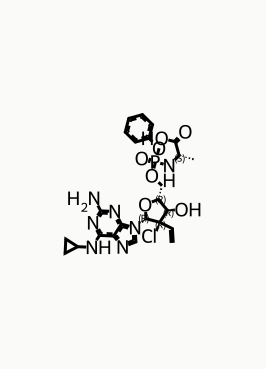 C=C[C@@]1(Cl)[C@H](O)[C@@H](COP(=O)(N[C@@H](C)C(=O)O)Oc2ccccc2)O[C@H]1n1cnc2c(NC3CC3)nc(N)nc21